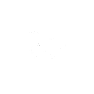 CCN1C(=O)C(=C2SCC(=O)N2CC(=O)O)SC1=S